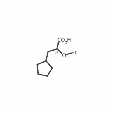 CCO[C@@H](CC1CCCC1)C(=O)O